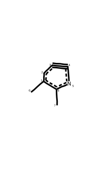 Cc1cc#cnc1C